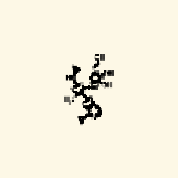 Cc1nc(NC2CC2)nc(N[C@@H]2C[C@H](CCO)[C@@H](O)[C@H]2O)c1-c1nc2c(C3CC3)nccc2s1